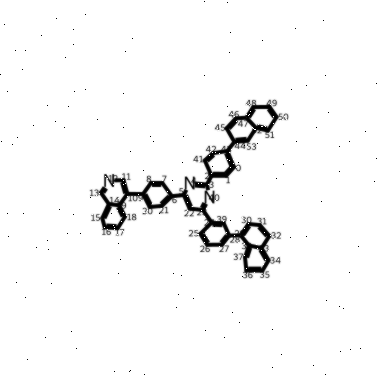 C1=C=C(c2nc(-c3ccc(-c4cncc5ccccc45)cc3)cc(-c3cccc(-c4cccc5ccccc45)c3)n2)C=CC=1c1ccc2ccccc2c1